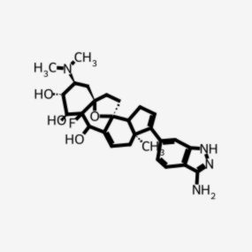 CN(C)[C@H]1C[C@@]23CC[C@@]4(O2)C(=CC[C@]2(C)C(c5ccc6c(N)n[nH]c6c5)=CCC24)C(O)C3(F)[C@@H](O)[C@@H]1O